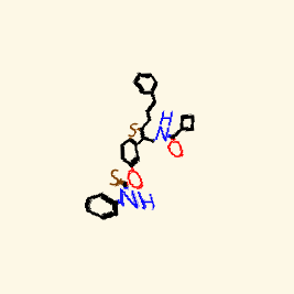 O=C(NCc1c(CC=Cc2ccccc2)sc2ccc(OC(=S)Nc3ccccc3)cc12)C1CCC1